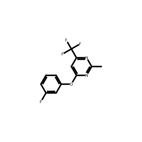 Cc1nc(Oc2cccc(F)c2)cc(C(F)(F)F)n1